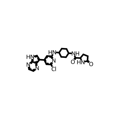 O=C1CCC(C(=O)NC2CCC(Nc3cc(-c4c[nH]c5nccnc45)cc(Cl)n3)CC2)N1